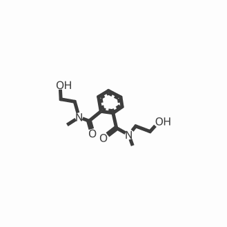 CN(CCO)C(=O)c1ccccc1C(=O)N(C)CCO